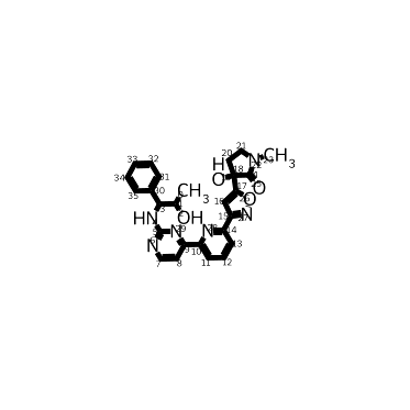 CC(O)C(Nc1nccc(-c2cccc(-c3cc(C4(O)CCN(C)C4=O)on3)n2)n1)c1ccccc1